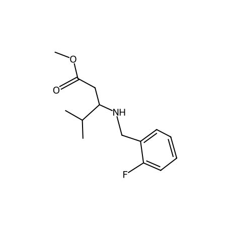 COC(=O)CC(NCc1ccccc1F)C(C)C